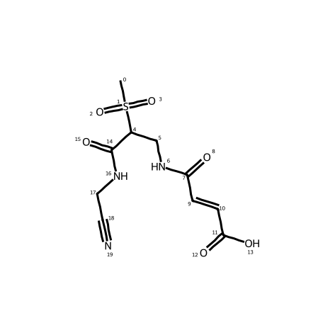 CS(=O)(=O)C(CNC(=O)C=CC(=O)O)C(=O)NCC#N